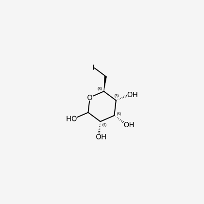 OC1O[C@@H](CI)[C@H](O)[C@H](O)[C@@H]1O